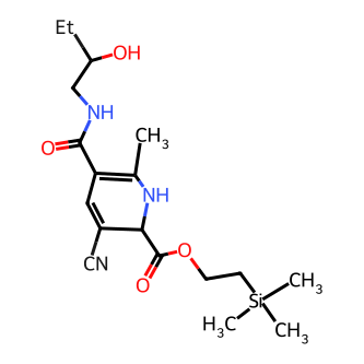 CCC(O)CNC(=O)C1=C(C)NC(C(=O)OCC[Si](C)(C)C)C(C#N)=C1